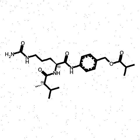 CC(C)C(=O)OCc1ccc(NC(=O)[C@H](CCCNC(N)=O)NC(=O)[C@@H](C)C(C)C)cc1